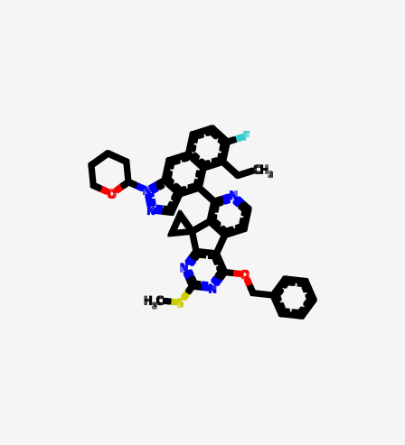 CCc1c(F)ccc2cc3c(cnn3C3CCCCO3)c(-c3nccc4c3C3(CC3)c3nc(SC)nc(OCc5ccccc5)c3-4)c12